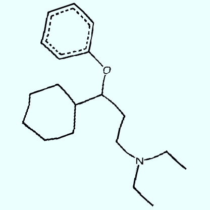 CCN(CC)CCC(Oc1ccccc1)C1CCCCC1